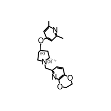 Cc1cc(O[C@@H]2CCN(Cc3ccc4c(n3)OCCO4)[C@@H](C)C2)cc(C)n1